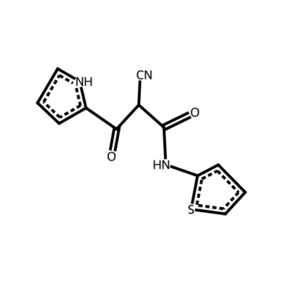 N#CC(C(=O)Nc1cccs1)C(=O)c1ccc[nH]1